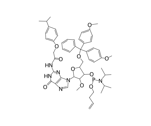 C=CCCOP(OC1C(COC(c2ccccc2)(c2ccc(OC)cc2)c2ccc(OC)cc2)OC(n2cnc3c(=O)[nH]c(NC(=O)COc4ccc(C(C)C)cc4)nc32)C1OC)N(C(C)C)C(C)C